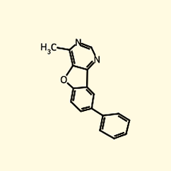 Cc1ncnc2c1oc1ccc(-c3ccccc3)cc12